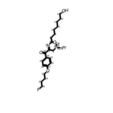 CCCN(CC)C/C(=N\C(=O)CCCCCCCO)C(=O)c1ccc(OCCCCF)cc1